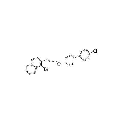 Clc1ccc(-c2ccc(OCC=Cc3ccc4ccccc4c3Br)cc2)cc1